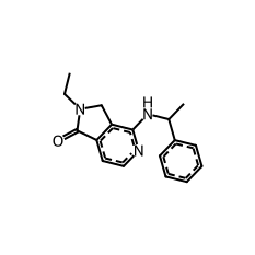 CCN1Cc2c(ccnc2NC(C)c2ccccc2)C1=O